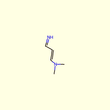 CN(C)C=CC=N